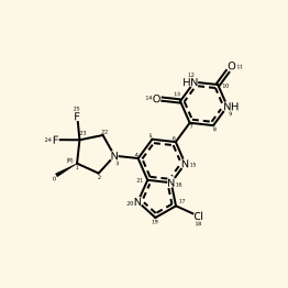 C[C@@H]1CN(c2cc(-c3c[nH]c(=O)[nH]c3=O)nn3c(Cl)cnc23)CC1(F)F